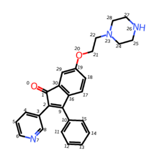 O=C1C(c2cccnc2)=C(c2ccccc2)c2ccc(OCCN3CCNCC3)cc21